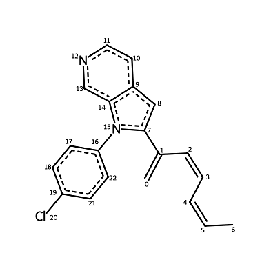 C=C(/C=C\C=C/C)c1cc2ccncc2n1-c1ccc(Cl)cc1